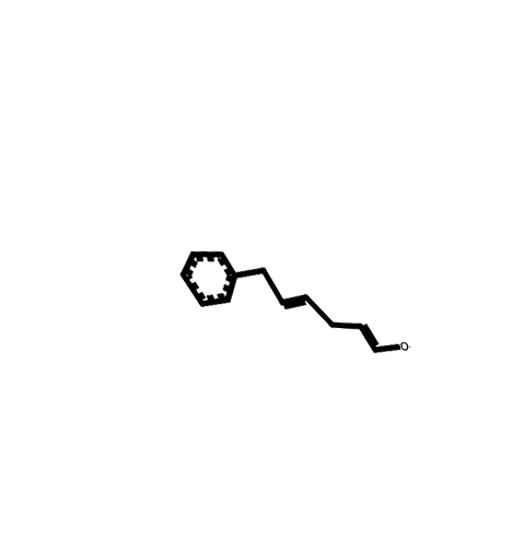 [O]C=CCC=CCc1ccccc1